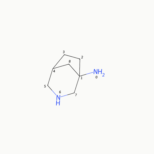 NC12CCC(CNC1)C2